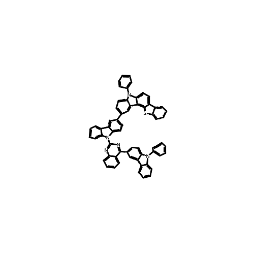 c1ccc(-n2c3ccccc3c3cc(-c4nc(-n5c6ccccc6c6cc(-c7ccc8c(c7)c7c9sc%10ccccc%10c9ccc7n8-c7ccccc7)ccc65)nc5ccccc45)ccc32)cc1